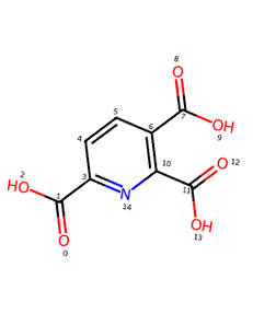 O=C(O)c1ccc(C(=O)O)c(C(=O)O)n1